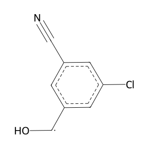 N#Cc1cc(Cl)cc([CH]O)c1